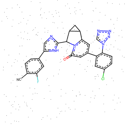 N#Cc1ccc(-c2cnc(C3C4CC4c4cc(-c5cc(Cl)ccc5-n5cnnn5)cc(=O)n43)[nH]2)cc1F